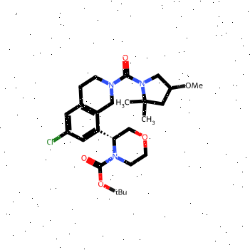 COC1CN(C(=O)N2CCc3cc(Cl)cc([C@@H]4COCCN4C(=O)OC(C)(C)C)c3C2)C(C)(C)C1